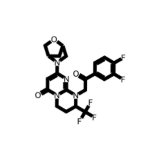 O=C(CN1c2nc(N3CC4CC3CO4)cc(=O)n2CCC1C(F)(F)F)c1ccc(F)c(F)c1